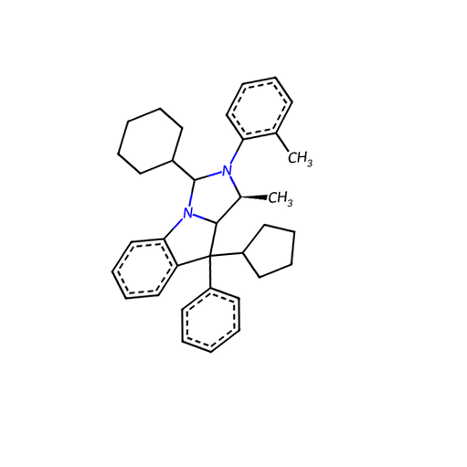 Cc1ccccc1N1C(C2CCCCC2)N2c3ccccc3C(c3ccccc3)(C3CCCC3)C2[C@@H]1C